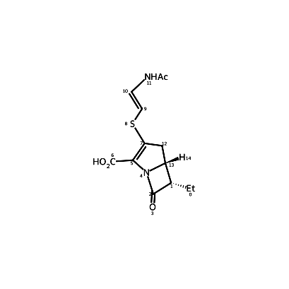 CC[C@@H]1C(=O)N2C(C(=O)O)=C(SC=CNC(C)=O)C[C@H]12